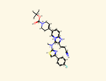 CN(c1nc(-c2ccc(F)cc2)cs1)c1c(C=CC#N)nc2ccc(C3=CCN(C(=O)OC(C)(C)C)CC3)cn12